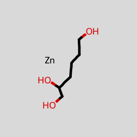 OCCCCC(O)CO.[Zn]